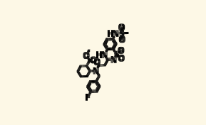 COC(=O)[C@@H]1CCCC[C@@H]1N(Cc1ccc(F)cc1)C(=O)CC1=NS(=O)(=O)c2cc(NS(C)(=O)=O)ccc2N1